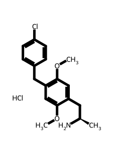 COc1cc(C[C@@H](C)N)c(OC)cc1Cc1ccc(Cl)cc1.Cl